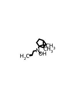 C=CCN(O)C12CCC(CC1)C2(C)C